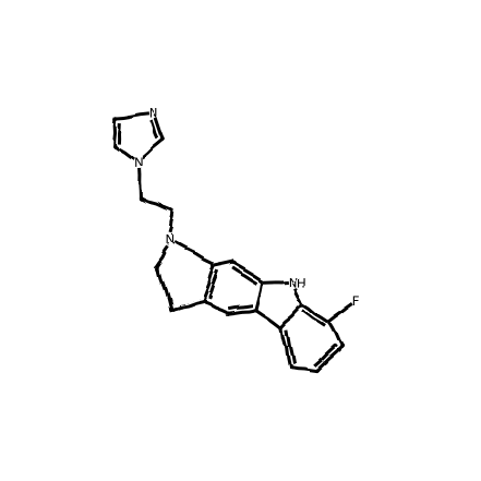 Fc1cccc2c1[nH]c1cc3c(cc12)CCN3CCn1ccnc1